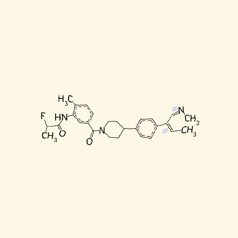 C/C=C(\C=N/C)c1ccc(C2CCN(C(=O)c3ccc(C)c(NC(=O)C(C)F)c3)CC2)cc1